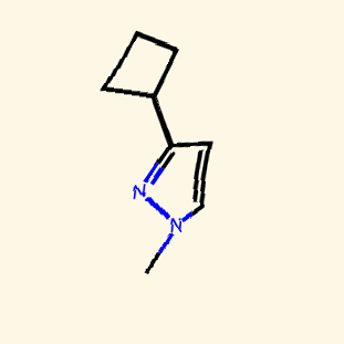 Cn1ccc(C2CCC2)n1